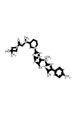 CCc1nc2sc(N3CCCC(N(C)CC(=O)N4CC(C)(O)C4)C3)nn2c1N(C)c1nc(-c2ccc(C)cc2)c(C#N)s1